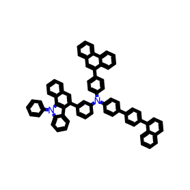 C1=CC(c2cc3ccccc3c3c2c2ccccc2n3-c2ccccc2)=CC(N(c2ccc(-c3ccc(-c4cccc5ccccc45)cc3)cc2)c2ccc(-c3cc4ccccc4c4ccccc34)cc2)C1